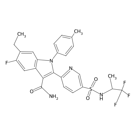 CCc1cc2c(cc1F)c(C(N)=O)c(-c1ccc(S(=O)(=O)NC(C)C(F)(F)F)cn1)n2-c1ccc(C)cc1